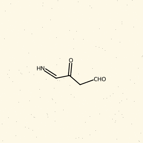 N=CC(=O)CC=O